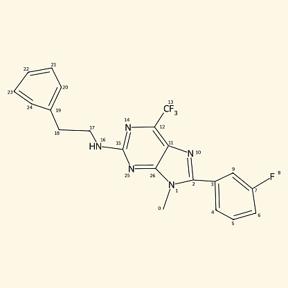 Cn1c(-c2cccc(F)c2)nc2c(C(F)(F)F)nc(NCCc3ccccc3)nc21